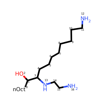 CCCCCCCCC(O)C(CCCCCCCCN)NCCN